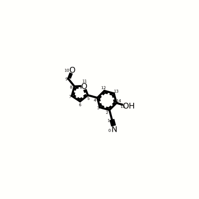 N#Cc1cc(-c2ccc(C=O)o2)ccc1O